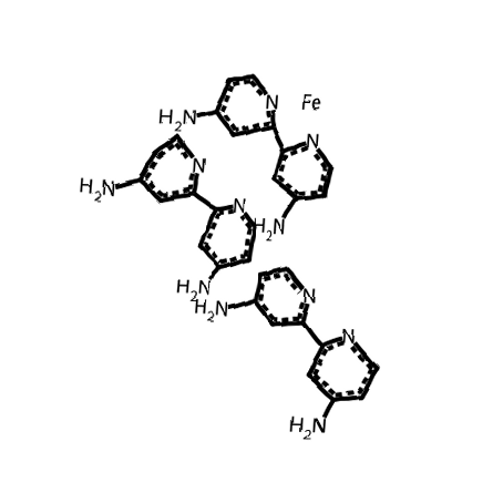 Nc1ccnc(-c2cc(N)ccn2)c1.Nc1ccnc(-c2cc(N)ccn2)c1.Nc1ccnc(-c2cc(N)ccn2)c1.[Fe]